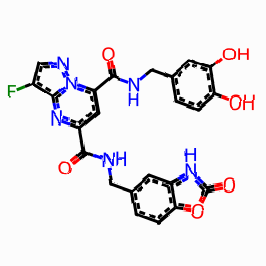 O=C(NCc1ccc2oc(=O)[nH]c2c1)c1cc(C(=O)NCc2ccc(O)c(O)c2)n2ncc(F)c2n1